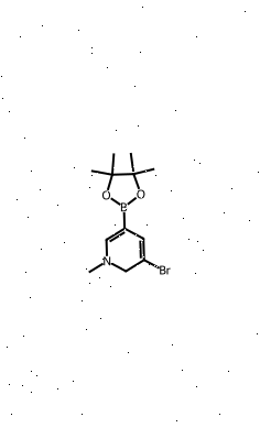 CN1C=C(B2OC(C)(C)C(C)(C)O2)C=C(Br)C1